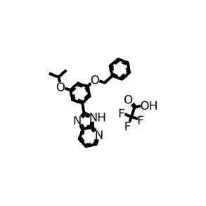 CC(C)Oc1cc(OCc2ccccc2)cc(-c2nc3cccnc3[nH]2)c1.O=C(O)C(F)(F)F